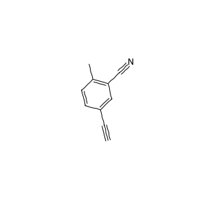 C#Cc1ccc(C)c(C#N)c1